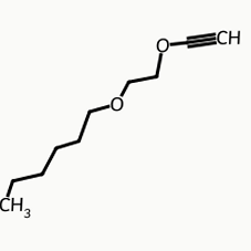 C#COCCOCCCCCC